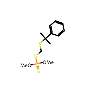 COP(=S)(OC)SCSC(C)(C)c1ccccc1